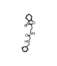 O=C(CNCc1ccccc1)NCCc1oc2ccccc2[n+]1[O-]